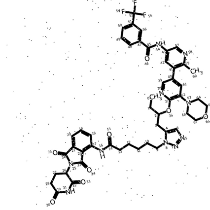 CCC(Cc1cnnn1CCCCCC(=O)Nc1cccc2c1C(=O)N(C1CCC(=O)NC1=O)C2=O)Oc1ncc(-c2cc(NC(=O)c3cccc(C(F)(F)F)c3)cnc2C)cc1N1CCOCC1